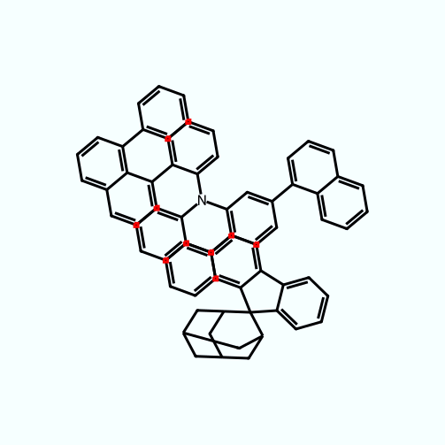 c1ccc(-c2ccc(-c3cccc4ccccc34)cc2N(c2ccccc2-c2ccc3c(c2)C2(c4ccccc4-3)C3CC4CC(C3)CC2C4)c2ccccc2-c2cccc3cccc(-c4ccccc4)c23)cc1